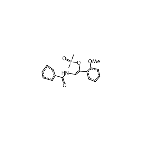 COc1ccccc1C(=CNC(=O)c1ccccc1)OP(C)(C)=O